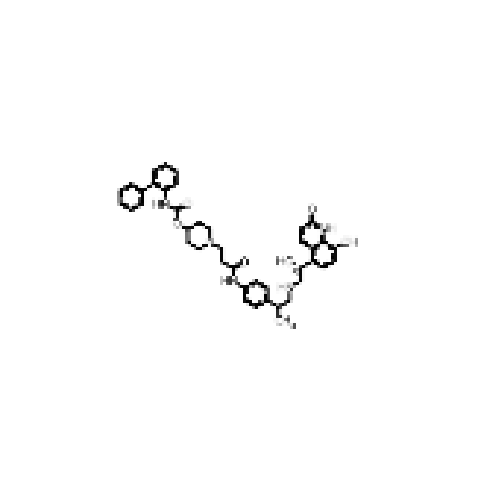 CC(CNC[C@H](O)c1ccc(O)c2[nH]c(=O)ccc12)c1ccc(NC(=O)CCN2CCC(OC(=O)Nc3ccccc3-c3ccccc3)CC2)cc1